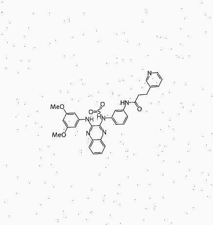 COc1cc(Nc2nc3ccccc3nc2N(c2cccc(NC(=O)CCc3cccnc3)c2)[SH](=O)=O)cc(OC)c1